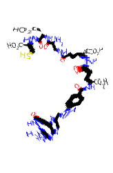 Nc1nc2ncc(CNc3ccc(C(=O)N[C@@H](CCC(=O)N[C@H](CCC(=O)NC[C@H](N)C(=O)N[C@@H](CC(=O)O)C(=O)N[C@@H](CS)C(=O)O)C(=O)O)C(=O)O)cc3)nc2c(=O)[nH]1